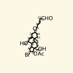 CC(=O)O[C@H]1[C@H](Br)CC2C3C(CC[C@@]21CO)[C@@]1(C)CC[C@H](OCCCCC=O)CC1=C[C@@H]3O